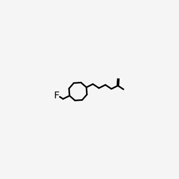 C=C(C)CCCCC1CCCC(CF)CCC1